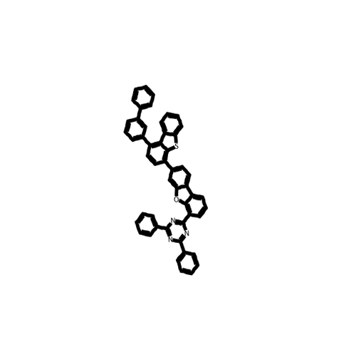 c1ccc(-c2cccc(-c3ccc(-c4ccc5c(c4)oc4c(-c6nc(-c7ccccc7)nc(-c7ccccc7)n6)cccc45)c4sc5ccccc5c34)c2)cc1